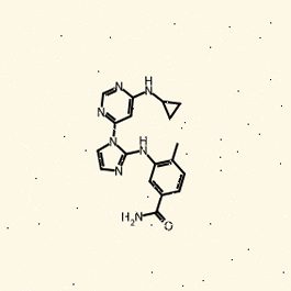 Cc1ccc(C(N)=O)cc1Nc1nccn1-c1cc(NC2CC2)ncn1